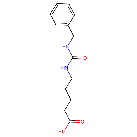 O=C(O)CCCCNC(=O)NCc1ccccc1